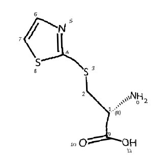 N[C@@H](CSc1nccs1)C(=O)O